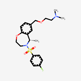 C[C@H]1c2cc(COCCN(C)C)ccc2OCCN1S(=O)(=O)c1ccc(F)cc1